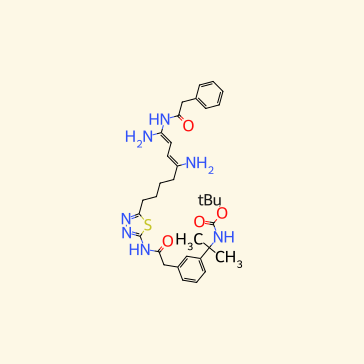 CC(C)(C)OC(=O)NC(C)(C)c1cccc(CC(=O)Nc2nnc(CCCC/C(N)=C/C=C(\N)NC(=O)Cc3ccccc3)s2)c1